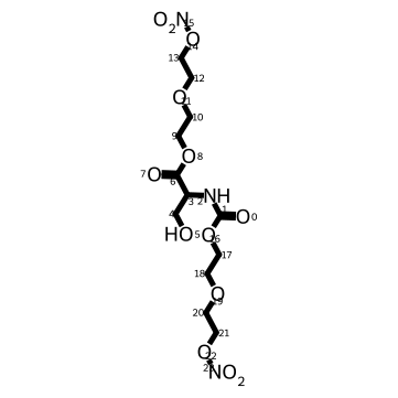 O=C(NC(CO)C(=O)OCCOCCO[N+](=O)[O-])OCCOCCO[N+](=O)[O-]